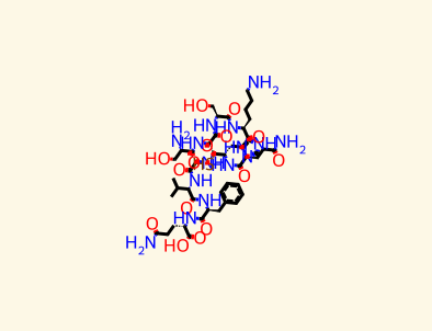 CC(C)[C@H](NC(=O)[C@H](C)NC(=O)[C@H](Cc1c[nH]cn1)NC(=O)[C@H](CCC(N)=O)NC(=O)[C@H](CCCCN)NC(=O)[C@H](CO)NC(=O)[C@H](CS)NC(=O)[C@@H](N)CO)C(=O)N[C@@H](Cc1ccccc1)C(=O)N[C@@H](CCC(N)=O)C(=O)O